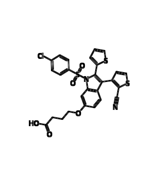 N#Cc1sccc1-c1c(-c2cccs2)n(S(=O)(=O)c2ccc(Cl)cc2)c2cc(OCCCC(=O)O)ccc12